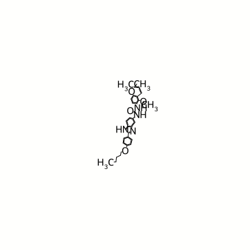 CCCCCOc1ccc(-c2nc3cc(NC(=O)Nc4ccc5c(c4OC)C=CC(C)(C)O5)ccc3[nH]2)cc1